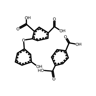 O=C(O)c1ccc(C(=O)O)cc1.O=C(O)c1ccc(Oc2cccc(O)c2)c(C(=O)O)c1